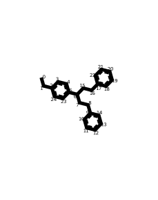 CCc1ccc(C(CCc2ccccc2)CCc2ccccc2)cc1